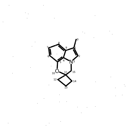 Cc1cn2c3c(cccc13)OC1(CCC1)C2